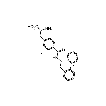 N[C@@H](Cc1ccc(C(=O)NCCc2ccccc2-c2ccccc2)cc1)C(=O)O